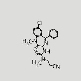 CN(CCC#N)C(=S)NC1N=C(c2ccccc2)c2cc(Cl)ccc2N(C)C1=O